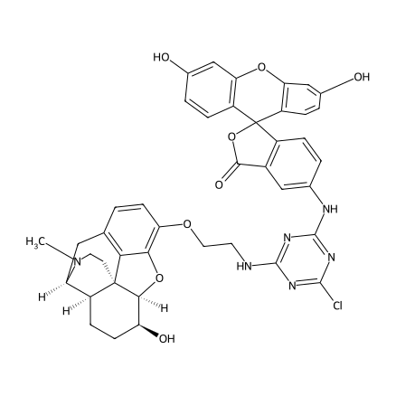 CN1CC[C@]23c4c5ccc(OCCNc6nc(Cl)nc(Nc7ccc8c(c7)C(=O)OC87c8ccc(O)cc8Oc8cc(O)ccc87)n6)c4O[C@H]2[C@@H](O)CC[C@H]3[C@H]1C5